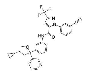 COC(CCC1CC1)(c1cccnc1)c1cccc(NC(=O)c2cc(C(F)(F)F)nn2-c2cccc(C#N)c2)c1